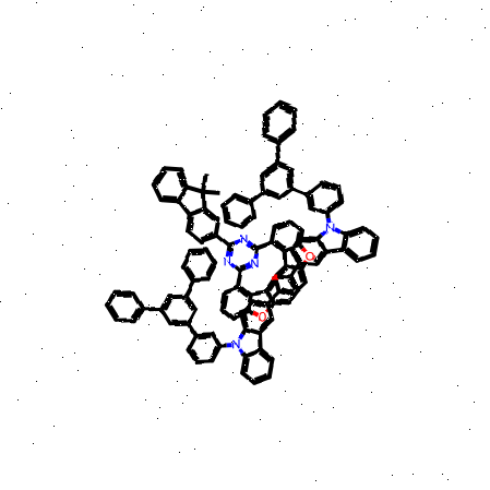 CC1(C)c2ccccc2-c2ccc(-c3nc(-c4cccc5oc6ccc(-c7ccc8c(c7)c7ccccc7n8-c7cccc(-c8cc(-c9ccccc9)cc(-c9ccccc9)c8)c7)cc6c45)nc(-c4cccc5oc6ccc(-c7ccc8c(c7)c7ccccc7n8-c7cccc(-c8cc(-c9ccccc9)cc(-c9ccccc9)c8)c7)cc6c45)n3)cc21